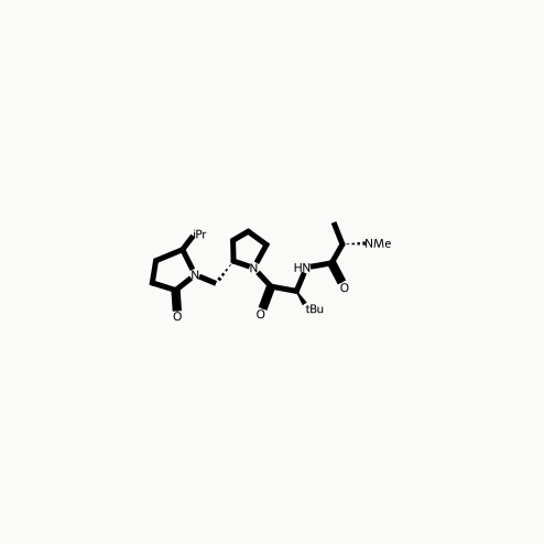 CN[C@@H](C)C(=O)N[C@H](C(=O)N1CCC[C@H]1CN1C(=O)CCC1C(C)C)C(C)(C)C